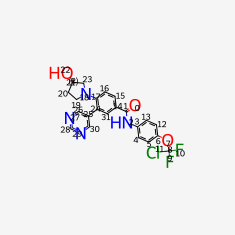 O=C(Nc1ccc(OC(F)(F)Cl)cc1)c1ccc(N2CC[C@@H](O)C2)c(-c2cncnc2)c1